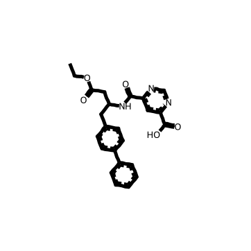 CCOC(=O)CC(Cc1ccc(-c2ccccc2)cc1)NC(=O)c1cc(C(=O)O)ncn1